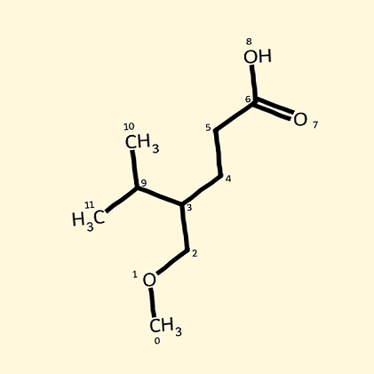 COCC(CCC(=O)O)C(C)C